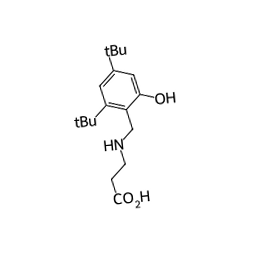 CC(C)(C)c1cc(O)c(CNCCC(=O)O)c(C(C)(C)C)c1